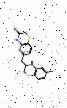 Cc1ccc2c(c1)NC(Cc1ccc3c(n1)NC(=O)CS3)CS2